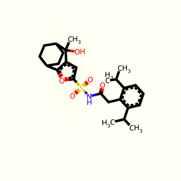 CC(C)c1cccc(C(C)C)c1CC(=O)NS(=O)(=O)c1cc2c(o1)C1CCC(CC1)C2(C)O